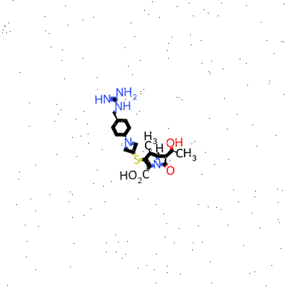 C[C@@H](O)[C@H]1C(=O)N2C(C(=O)O)=C(SC3CN([C@H]4CC[C@H](CNC(=N)N)CC4)C3)[C@H](C)[C@H]12